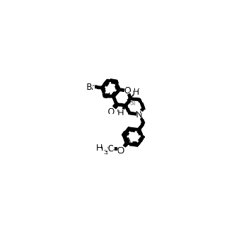 COc1ccc(CN2CC[C@@H]3Oc4ccc(Br)cc4C(=O)[C@H]3C2)cc1